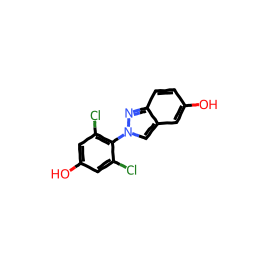 Oc1cc(Cl)c(-n2cc3cc(O)ccc3n2)c(Cl)c1